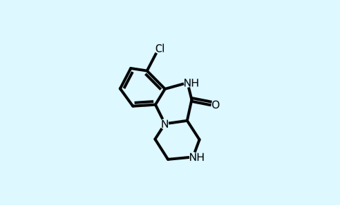 O=C1Nc2c(Cl)cccc2N2CCNCC12